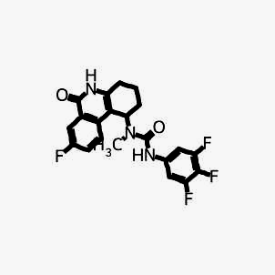 CN(C(=O)Nc1cc(F)c(F)c(F)c1)C1CCCc2[nH]c(=O)c3cc(F)ccc3c21